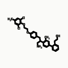 Cc1cc(Cl)c(OCCOc2ccc(CC(CN)c3ccc(-c4ccccc4CCO)cc3C)cc2)c(Cl)c1